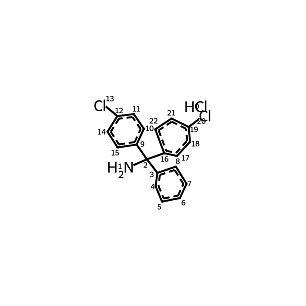 Cl.NC(c1ccccc1)(c1ccc(Cl)cc1)c1ccc(Cl)cc1